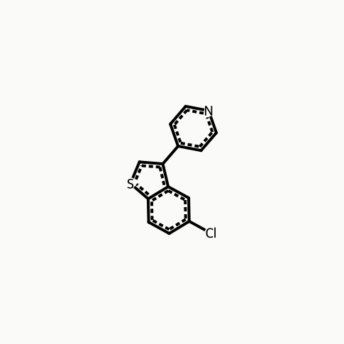 Clc1ccc2scc(-c3ccncc3)c2c1